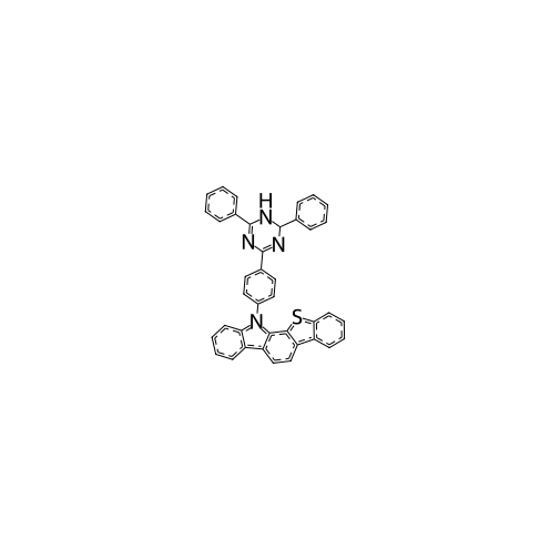 c1ccc(C2=NC(c3ccc(-n4c5ccccc5c5ccc6c7ccccc7sc6c54)cc3)=NC(c3ccccc3)N2)cc1